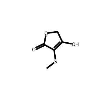 CSC1=C(O)COC1=O